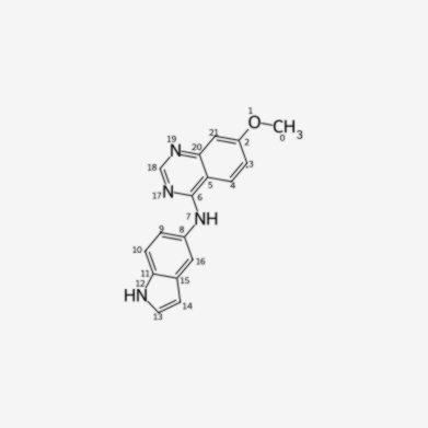 COc1[c]cc2c(Nc3ccc4[nH]ccc4c3)ncnc2c1